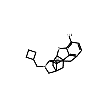 Oc1ccc2c3c1OC1CCC45CN(CC6CCC6)C(C2)C4(O)C31C5